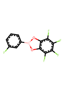 Fc1cccc(B2Oc3c(F)c(F)c(F)c(F)c3O2)c1